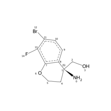 N[C@@]1(CO)CCOc2c1ccc(Br)c2F